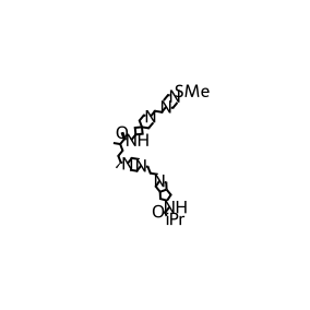 CSN1CCN(CCN2CCC3(CC2)CC(NC(=O)C(C)CC[C@H](C)N2CCN(CCCN4CC5CC(NC(=O)C(C)C)CC5C4)CC2)C3)CC1